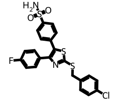 NS(=O)(=O)c1ccc(-c2sc(SCc3ccc(Cl)cc3)nc2-c2ccc(F)cc2)cc1